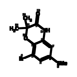 CSc1cc(Br)c2c(c1)NC(=O)C(C)(C)O2